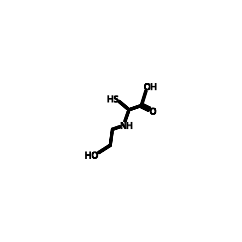 O=C(O)C(S)NCCO